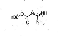 CCCCOC(=O)[N]C(=N)N